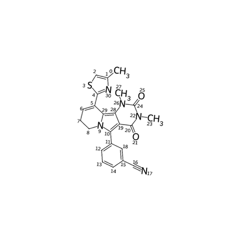 Cc1csc(C2=CCCn3c(-c4cccc(C#N)c4)c4c(=O)n(C)c(=O)n(C)c4c32)n1